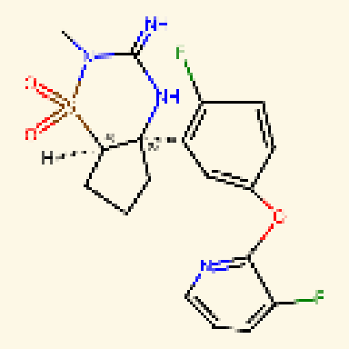 CN1C(=N)N[C@@]2(c3cc(Oc4ncccc4F)ccc3F)CCC[C@H]2S1(=O)=O